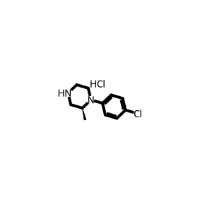 C[C@H]1CNCCN1c1ccc(Cl)cc1.Cl